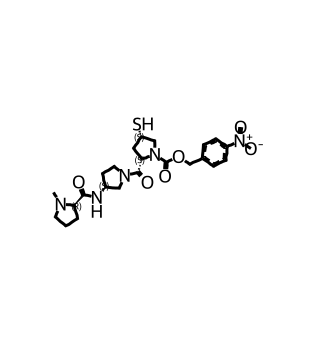 CN1CCC[C@@H]1C(=O)N[C@H]1CCN(C(=O)[C@@H]2C[C@H](S)CN2C(=O)OCc2ccc([N+](=O)[O-])cc2)C1